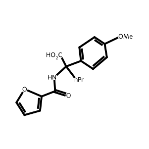 CCCC(NC(=O)c1ccco1)(C(=O)O)c1ccc(OC)cc1